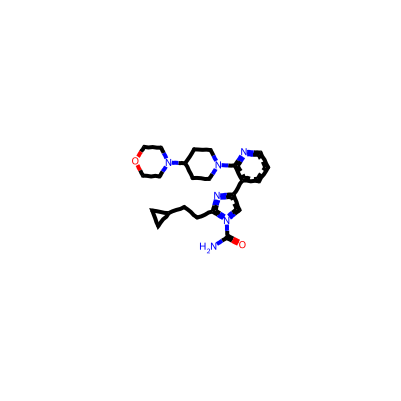 NC(=O)n1cc(-c2cccnc2N2CCC(N3CCOCC3)CC2)nc1CCC1CC1